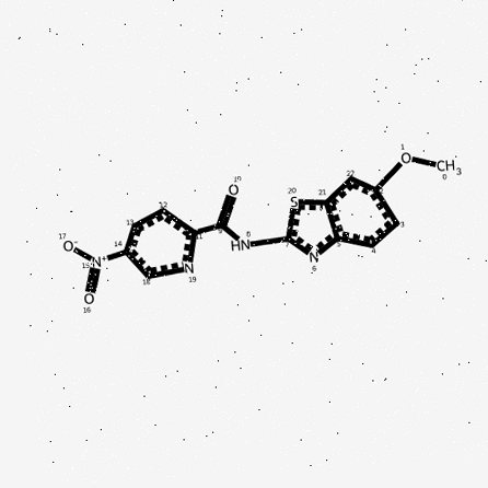 COc1ccc2nc(NC(=O)c3ccc([N+](=O)[O-])cn3)sc2c1